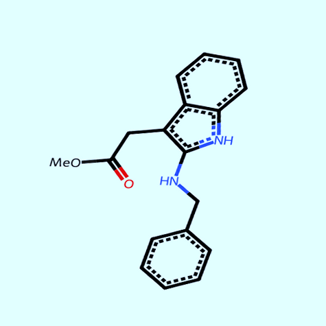 COC(=O)Cc1c(NCc2ccccc2)[nH]c2ccccc12